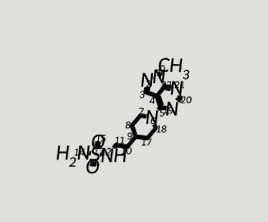 Cn1ncc2c(N3CCC(CCNS(N)(=O)=O)CC3)ncnc21